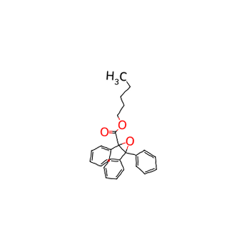 CCCCCOC(=O)C1(c2ccccc2)OC1(c1ccccc1)c1ccccc1